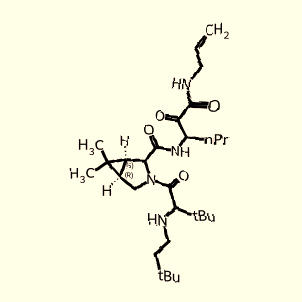 C=CCNC(=O)C(=O)C(CCC)NC(=O)C1[C@H]2[C@@H](CN1C(=O)C(NCCC(C)(C)C)C(C)(C)C)C2(C)C